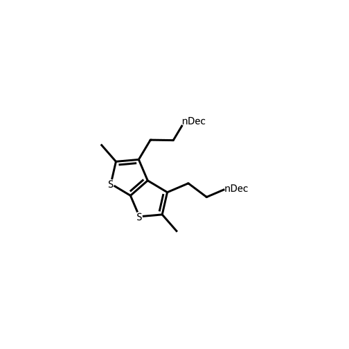 CCCCCCCCCCCCc1c(C)sc2sc(C)c(CCCCCCCCCCCC)c12